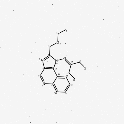 CCOCc1nc2cnc3ccccc3c2n1N=C(CC)CC